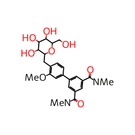 CNC(=O)c1cc(C(=O)NC)cc(-c2ccc(CC3OC(CO)C(O)C(O)C3O)c(OC)c2)c1